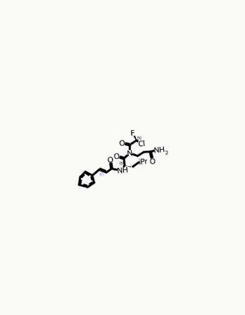 CC(C)C[C@H](NC(=O)/C=C/c1ccccc1)C(=O)N(CCC(N)=O)C(=O)[C@@H](F)Cl